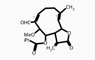 C=C1C(=O)OC2/C=C(\C)CC/C=C(/C=O)C(OC)C(OC(=O)C(C)C)C12